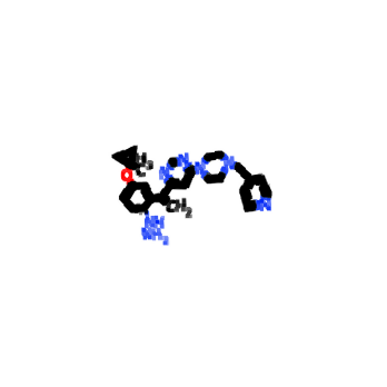 C=C(C1=CC(OC2(C)CC2)=CC[C@H]1NN)c1cc(N2CCN(Cc3ccncc3)CC2)ncn1